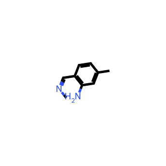 C/N=C\c1ccc(C)cc1N